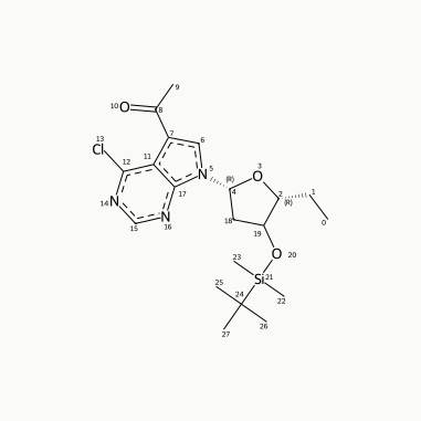 CC[C@H]1O[C@@H](n2cc(C(C)=O)c3c(Cl)ncnc32)CC1O[Si](C)(C)C(C)(C)C